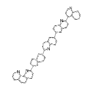 c1cnc2c(c1)ccc1ccc(-c3ccc4cc(-c5ccc6cc(-c7ccc8nc(-c9ccnc%10ccccc9%10)ccc8c7)ccc6n5)ccc4c3)nc12